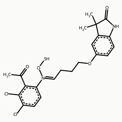 CC(=O)c1c([N+](=CCCCOc2ccc3c(c2)C(C)(C)C(=O)N3)OS)ccc(Cl)c1Cl